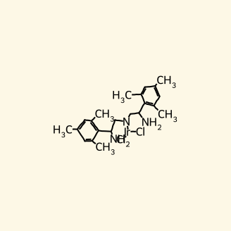 Cc1cc(C)c(C(N)C[N](CC(N)c2c(C)cc(C)cc2C)[Ir]([Cl])[Cl])c(C)c1